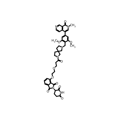 COc1cc(-c2cn(C)c(=O)c3cnccc23)cc(OC)c1CN1CCC2(CCN(C(=O)CCOCCOc3cccc4c3C(=O)N(C3CCC(=O)NC3=O)C4=O)C2)C1